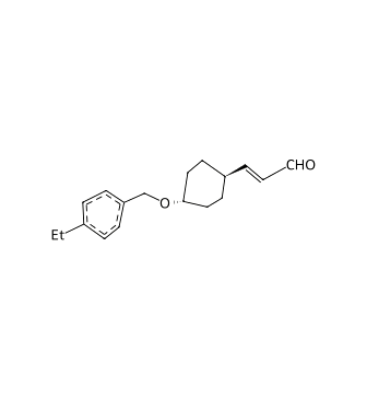 CCc1ccc(CO[C@H]2CC[C@H](C=CC=O)CC2)cc1